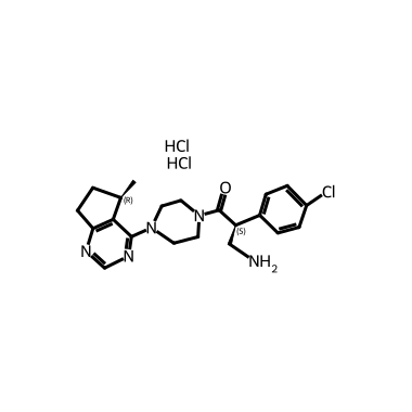 C[C@@H]1CCc2ncnc(N3CCN(C(=O)[C@H](CN)c4ccc(Cl)cc4)CC3)c21.Cl.Cl